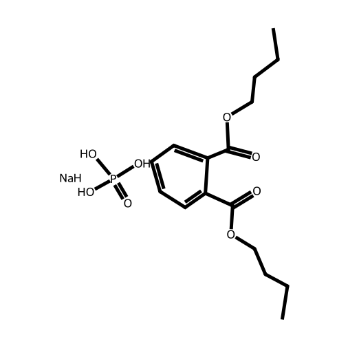 CCCCOC(=O)c1ccccc1C(=O)OCCCC.O=P(O)(O)O.[NaH]